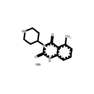 Br.Cc1cccc2[nH]c(=O)n(C3CCNCC3)c(=O)c12